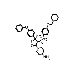 CN(C(C(=O)N1CCC(N)CC1)C(F)(F)c1ccc(Oc2ccccc2)cc1)S(=O)(=O)c1ccc(OCC2CCCCC2)cc1